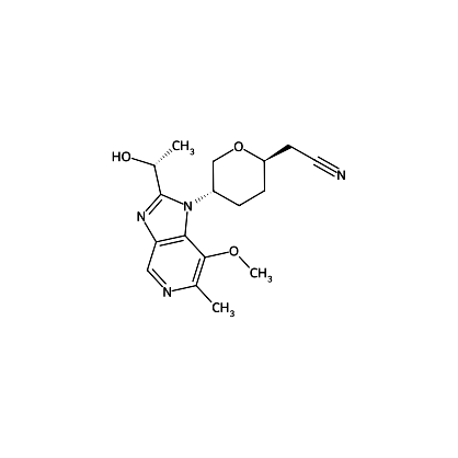 COc1c(C)ncc2nc([C@@H](C)O)n([C@H]3CC[C@H](CC#N)OC3)c12